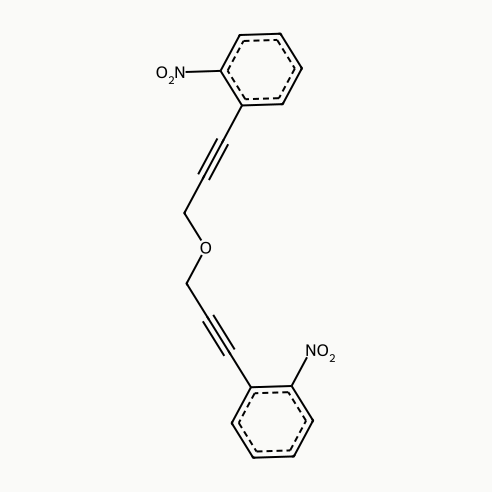 O=[N+]([O-])c1ccccc1C#CCOCC#Cc1ccccc1[N+](=O)[O-]